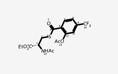 CCOC(=O)[C@H](CSC(=O)c1ccc(C(F)(F)F)cc1OC(C)=O)NC(C)=O